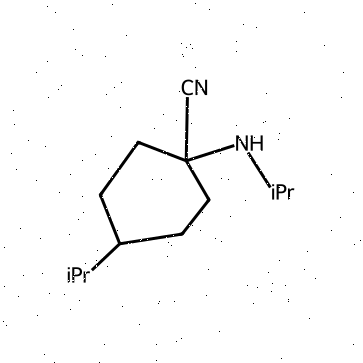 CC(C)NC1(C#N)CCC(C(C)C)CC1